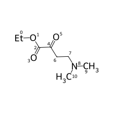 CCOC(=O)C(=O)CCN(C)C